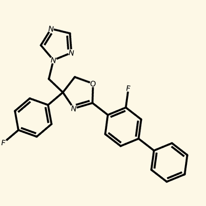 Fc1ccc(C2(Cn3cncn3)COC(c3ccc(-c4ccccc4)cc3F)=N2)cc1